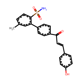 Cc1ccc(S(N)(=O)=O)c(-c2ccc(C(=O)C=Cc3ccc(O)cc3)cc2)c1